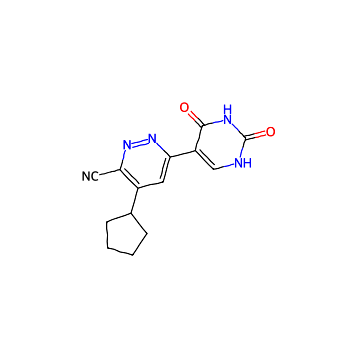 N#Cc1nnc(-c2c[nH]c(=O)[nH]c2=O)cc1C1CCCC1